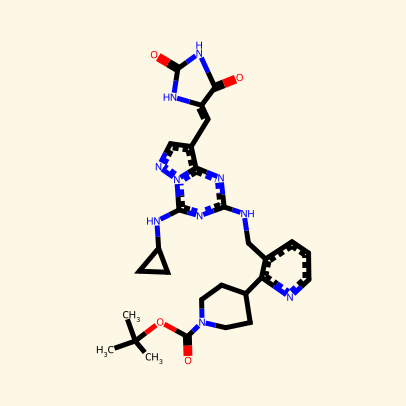 CC(C)(C)OC(=O)N1CCC(c2ncccc2CNc2nc(NC3CC3)n3ncc(/C=C4\NC(=O)NC4=O)c3n2)CC1